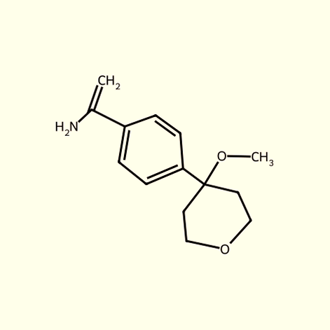 C=C(N)c1ccc(C2(OC)CCOCC2)cc1